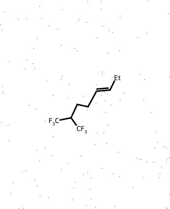 [CH2]C/C=C/CCC(C(F)(F)F)C(F)(F)F